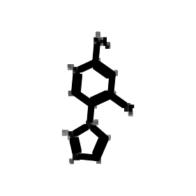 Nc1cc(Br)c(-n2ccnn2)cn1